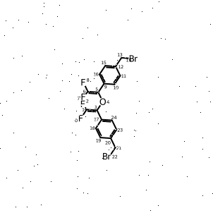 FC(F)=C(OC(=C(F)F)c1ccc(CBr)cc1)c1ccc(CBr)cc1